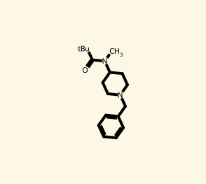 CN(C(=O)C(C)(C)C)C1CCN(Cc2ccccc2)CC1